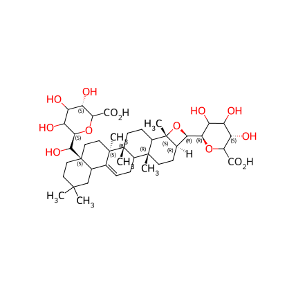 CC1(C)CC[C@]2(C(O)[C@@H]3OC(C(=O)O)[C@@H](O)C(O)C3O)CC[C@]3(C)C(=CCC4[C@@]5(C)CC[C@@H]6[C@H]([C@@H]7OC(C(=O)O)[C@@H](O)C(O)C7O)O[C@@]6(C)C5CC[C@]43C)C2C1